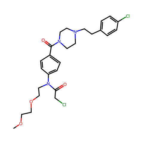 COCCOCCN(C(=O)CCl)c1ccc(C(=O)N2CCN(CCc3ccc(Cl)cc3)CC2)cc1